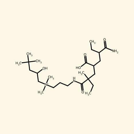 CCC(CC(CC(C)(CC)C(=O)NCCC[N+](C)(C)CC(O)CC(C)(C)C)C(=O)O)C(N)=O